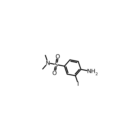 CN(C)S(=O)(=O)c1ccc(N)c(I)c1